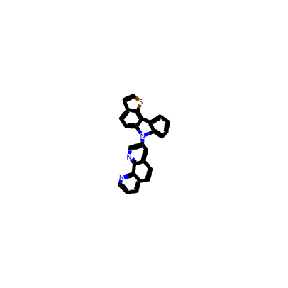 c1cnc2c(c1)ccc1cc(-n3c4ccccc4c4c5sccc5ccc43)cnc12